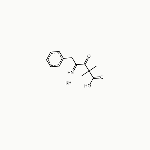 CC(C)(C(=O)O)C(=O)C(=N)Cc1ccccc1.[KH]